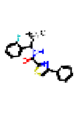 O=C(O)CC(NC(=O)c1nc(-c2ccccc2)cs1)c1ccccc1F